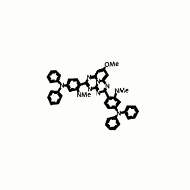 CNc1cc(N(c2ccccc2)c2ccccc2)ccc1C1=NC2=CC(OC)=CC3=NC(c4ccc(N(c5ccccc5)c5ccccc5)cc4NC)=NC(=N1)N23